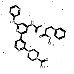 COC(=O)[C@H](CC(=O)Nc1cc(Nc2cnccn2)nc(-c2ccnc(N3CCN(C(=O)O)CC3)c2)c1)Cc1ccccc1